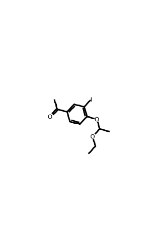 CCOC(C)Oc1ccc(C(C)=O)cc1I